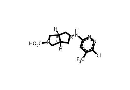 O=C(O)N1C[C@H]2C[C@@H](Nc3cc(C(F)(F)F)c(Cl)nn3)C[C@H]2C1